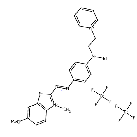 CCN(CC[n+]1ccccc1)c1ccc(/N=N/c2sc3cc(OC)ccc3[n+]2C)cc1.F[B-](F)(F)F.F[B-](F)(F)F